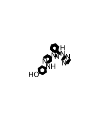 OC1CCC(Nc2cc(-n3nc(Nc4cnccn4)c4ccccc43)ccn2)CC1